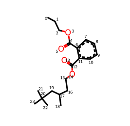 CCCOC(=O)c1ccccc1C(=O)OCCC(C)CC(C)(C)C